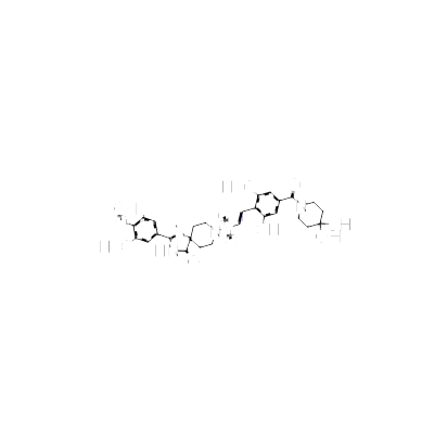 COc1ccc(C2=NC3(CCN(S(=O)(=O)/C=C/c4c(C)cc(C(=O)N5CCC(C)(O)CC5)cc4C)CC3)C(=O)N2)cc1C